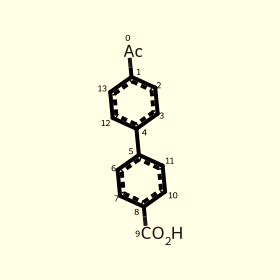 CC(=O)c1ccc(-c2ccc(C(=O)O)cc2)cc1